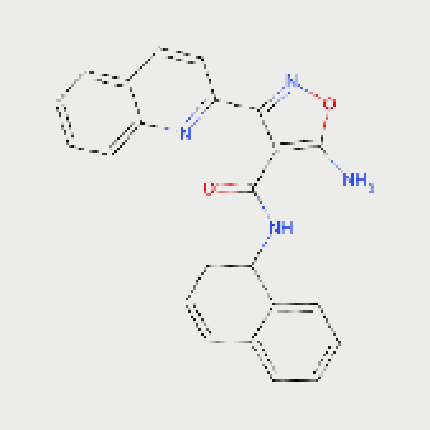 Nc1onc(-c2ccc3ccccc3n2)c1C(=O)Nc1cccc2ccccc12